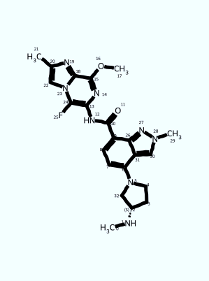 CN[C@H]1CCN(c2ccc(C(=O)Nc3nc(OC)c4nc(C)cn4c3F)c3nn(C)cc23)C1